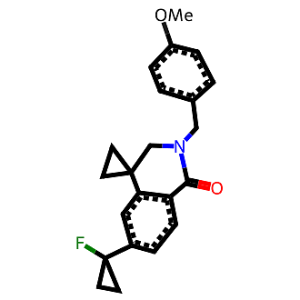 COc1ccc(CN2CC3(CC3)c3cc(C4(F)CC4)ccc3C2=O)cc1